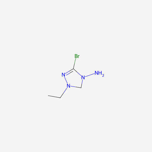 CCN1CN(N)C(Br)=N1